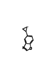 [CH]1CC1c1ccc2ocnc2c1